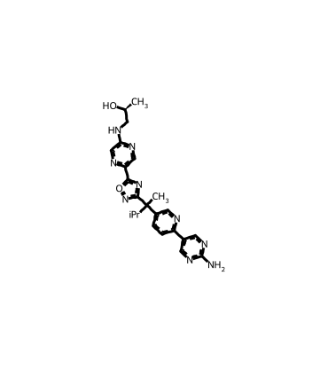 CC(C)C(C)(c1ccc(-c2cnc(N)nc2)nc1)c1noc(-c2cnc(NC[C@H](C)O)cn2)n1